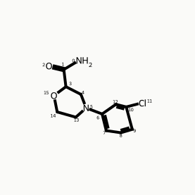 NC(=O)C1CN(c2cccc(Cl)c2)CCO1